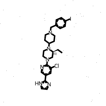 CC[C@H]1CN(c2ncc(-c3ncc[nH]3)cc2Cl)CCN1C1CCN(Cc2ccc(I)cc2)CC1